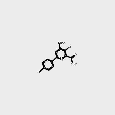 COC(=O)c1nc(-c2ccc(Cl)cc2)cc(NC(C)=O)c1Cl